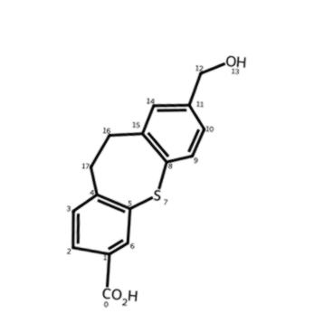 O=C(O)c1ccc2c(c1)Sc1ccc(CO)cc1CC2